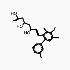 Cc1cccc(-c2cc(C)c(F)c(C)c2/C=C/C(O)CC(O)CC(=O)O)c1